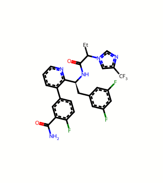 CCC(C(=O)N[C@@H](Cc1cc(F)cc(F)c1)c1ncccc1-c1ccc(F)c(C(N)=O)c1)n1cnc(C(F)(F)F)c1